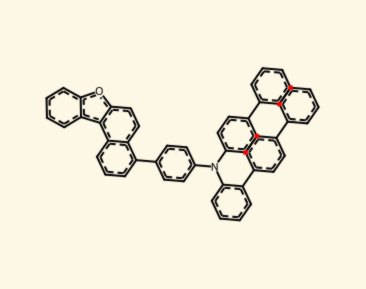 c1ccc(-c2ccc(-c3ccccc3N(c3ccc(-c4ccccc4)cc3)c3ccc(-c4cccc5c4ccc4oc6ccccc6c45)cc3)cc2)cc1